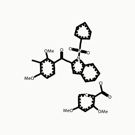 COc1ccc(C(=O)Cl)c(OC)c1.COc1ccc(C(=O)c2cc3ccccc3n2S(=O)(=O)c2ccccc2)c(OC)c1C